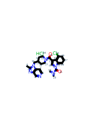 Cc1nc2cnccc2n1CC1CCN(C(=O)c2cn(C(=O)N(C)C)c3cccc(Cl)c23)CC1.Cl